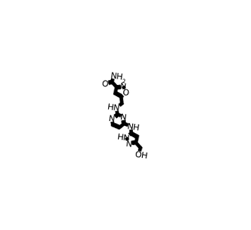 NC(=O)c1cc(CNc2nccc(Nc3cc(CO)n[nH]3)n2)on1